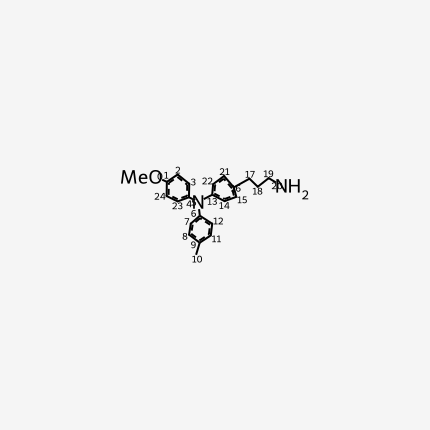 COc1ccc(N(c2ccc(C)cc2)c2ccc(CCCN)cc2)cc1